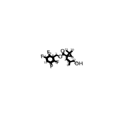 CC(=CC1(C(=O)OCc2c(F)c(F)cc(F)c2F)CC1(C)C)CO